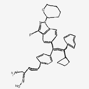 NC(C=Cc1ccc(C(=C(c2ccccc2)C2CCC2)c2ccc3c(c2)c(F)nn3C2CCCCO2)cc1)=NO